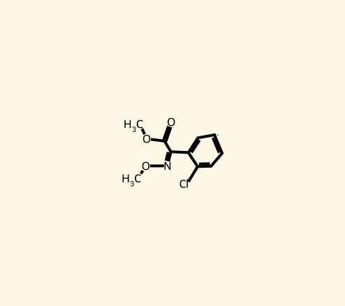 CON=C(C(=O)OC)c1c[c]ccc1Cl